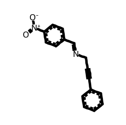 O=[N+]([O-])c1ccc(C=NCC#Cc2ccccc2)cc1